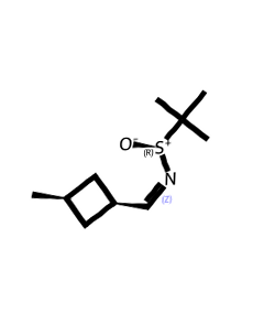 CC(C)(C)[S@+]([O-])/N=C\[C@H]1C[C@@H](C)C1